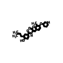 CC(C)=CCc1cc(C(=O)Nc2cc3ccc(OC4CCCNC4)c(C)c3oc2=O)ccc1O